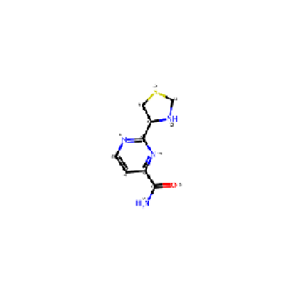 NC(=O)c1ccnc(C2CSCN2)n1